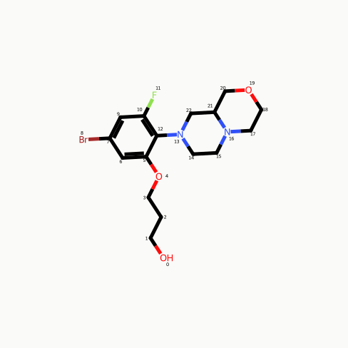 OCCCOc1cc(Br)cc(F)c1N1CCN2CCOCC2C1